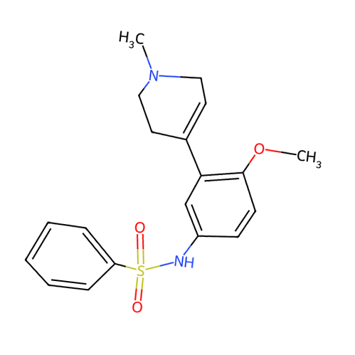 COc1ccc(NS(=O)(=O)c2ccccc2)cc1C1=CCN(C)CC1